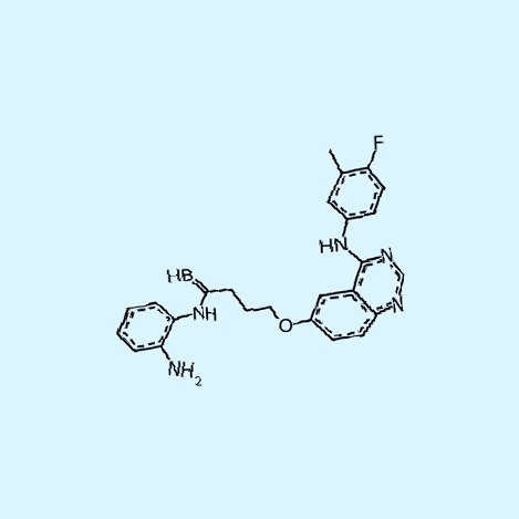 B=C(CCCOc1ccc2ncnc(Nc3ccc(F)c(C)c3)c2c1)Nc1ccccc1N